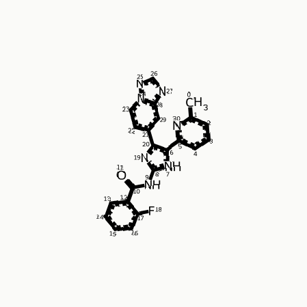 Cc1cccc(-c2[nH]c(NC(=O)c3ccccc3F)nc2-c2ccn3ncnc3c2)n1